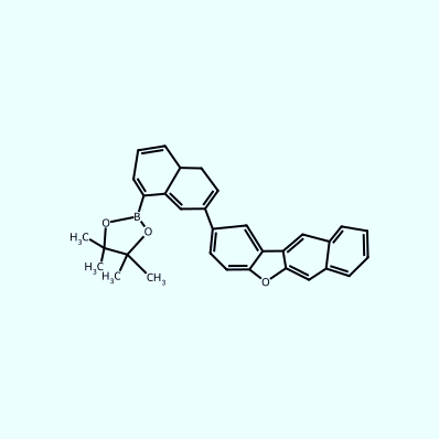 CC1(C)OB(C2=CC=CC3CC=C(c4ccc5oc6cc7ccccc7cc6c5c4)C=C23)OC1(C)C